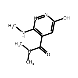 CNc1nnc(O)cc1C(=O)N(C)C